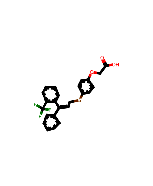 O=C(O)COc1ccc(SCC=C(c2ccccc2)c2ccccc2C(F)(F)F)cc1